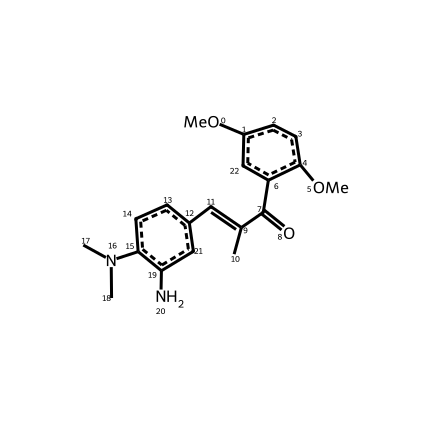 COc1ccc(OC)c(C(=O)C(C)=Cc2ccc(N(C)C)c(N)c2)c1